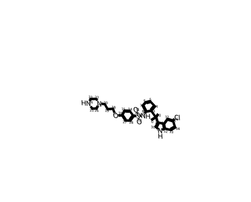 CC(C)(c1ccccc1NS(=O)(=O)c1ccc(OCCCN2CCNCC2)cc1)c1c[nH]c2ccc(Cl)cc12